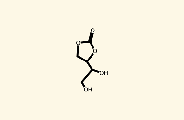 O=C1OCC(C(O)CO)O1